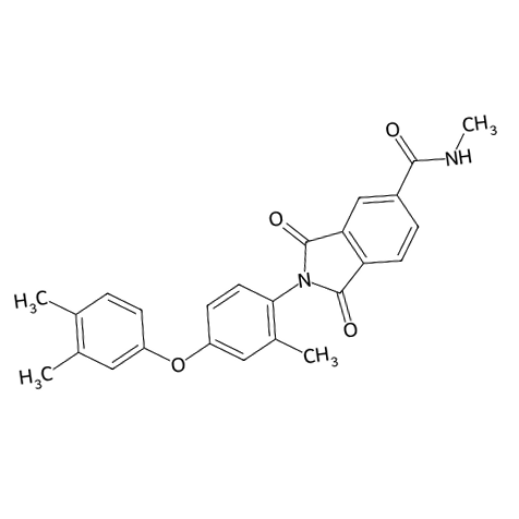 CNC(=O)c1ccc2c(c1)C(=O)N(c1ccc(Oc3ccc(C)c(C)c3)cc1C)C2=O